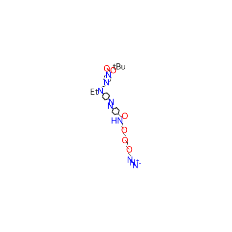 CCN(CCN1CCN(C(=O)OC(C)(C)C)CC1)c1ccc(/N=N/c2ccc(C(=O)NCCOCCOCCOCCN=[N+]=[N-])cc2)cc1